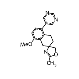 COc1ccc(-c2cncnc2)c2c1CC1(CC2)COC(C)=N1